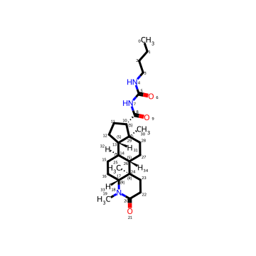 CCCCNC(=O)NC(=O)[C@H]1CC[C@H]2[C@@H]3CC[C@H]4N(C)C(=O)CC[C@]4(C)[C@H]3CC[C@]12C